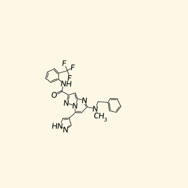 CN(Cc1ccccc1)c1cc(-c2cn[nH]c2)n2nc(C(=O)Nc3ccccc3C(F)(F)F)cc2n1